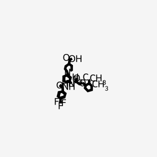 CC(C)C1C(C)CCCC1OCC(=O)Nc1cc(N2CCC(C(=O)O)CC2)ccc1NC(=O)c1ccc(C(F)(F)F)cc1